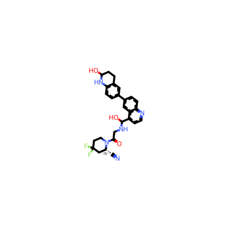 N#C[C@@H]1CC(F)(F)CCN1C(=O)CNC(O)c1ccnc2ccc(-c3ccc4c(c3)CCC(O)N4)cc12